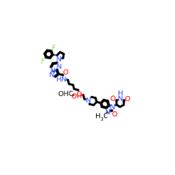 Cn1c(=O)n(C2CCC(=O)NC2=O)c2ccc(C3CCN(CCOCCCCCNC(=O)c4cnn5ccc(N6CCC[C@@H]6c6cc(F)ccc6F)nc45)CC3)cc21.O=CO